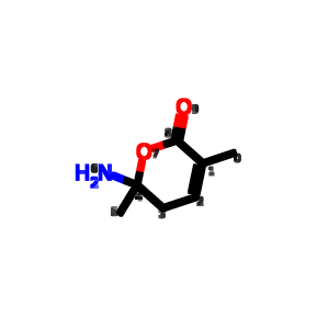 CC1=CCC(C)(N)OC1=O